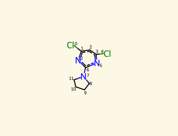 Clc1cc(Cl)nc(N2CCCC2)n1